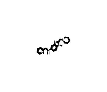 Cn1c(CN2CCCCC2)nc2cc(NCc3ccccn3)ccc21